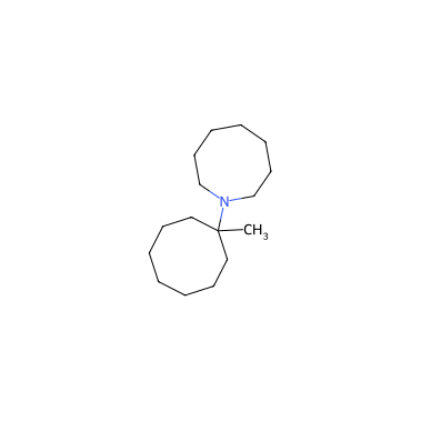 CC1(N2CCCCCCC2)CCCCCCC1